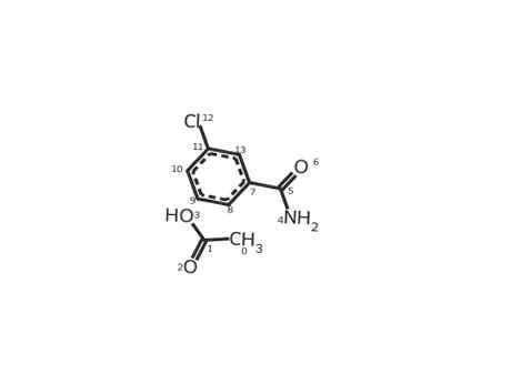 CC(=O)O.NC(=O)c1cccc(Cl)c1